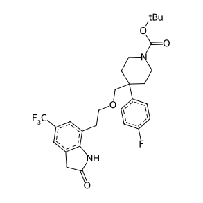 CC(C)(C)OC(=O)N1CCC(COCCc2cc(C(F)(F)F)cc3c2NC(=O)C3)(c2ccc(F)cc2)CC1